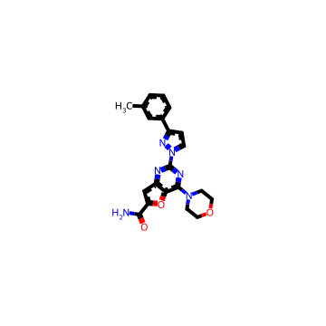 Cc1cccc(-c2ccn(-c3nc(N4CCOCC4)c4oc(C(N)=O)cc4n3)n2)c1